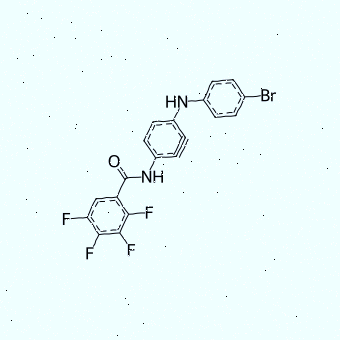 O=C(Nc1c#cc(Nc2ccc(Br)cc2)cc1)c1cc(F)c(F)c(F)c1F